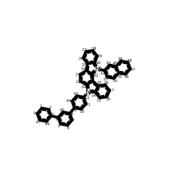 c1ccc(-c2cccc(-c3ccc(-n4c5ccccc5c5c4ccc4c6ccccc6n(-c6ccc7ccccc7c6)c45)cc3)c2)cc1